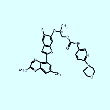 COc1cnc2c(-c3nc4cc(F)c(O[C@@H](C)COC(=O)Nc5ccc(N6CCOCC6)nc5)cc4s3)cc(C)cc2n1